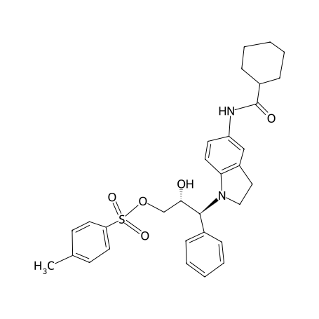 Cc1ccc(S(=O)(=O)OC[C@H](O)[C@H](c2ccccc2)N2CCc3cc(NC(=O)C4CCCCC4)ccc32)cc1